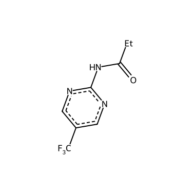 CCC(=O)Nc1ncc(C(F)(F)F)cn1